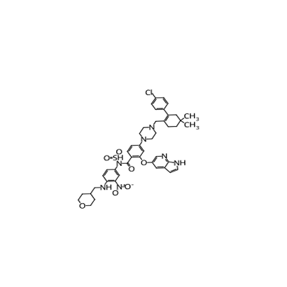 CC1(C)CCC(CN2CCN(c3ccc(C(=O)N(c4ccc(NCC5CCOCC5)c([N+](=O)[O-])c4)[SH](=O)=O)c(Oc4cnc5[nH]ccc5c4)c3)CC2)=C(c2ccc(Cl)cc2)C1